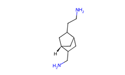 NCCC1C[C@@H]2CC1CC2CN